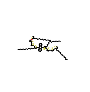 CCCCCCCCCCCCc1ccsc1-c1ccc(-c2ccc(-c3sc(-c4c5ccccc5c(-c5cc(CCCCCCCCCCCC)c(-c6ccc(-c7ccc(-c8sccc8CCCCCCCCCCCC)s7)s6)s5)c5ccccc45)cc3CCCCCCCCCCCC)s2)s1